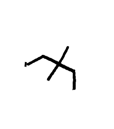 [C]CC(C)(C)CC